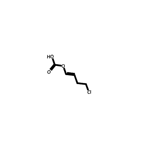 O=C(O)OC=CCCCl